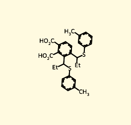 CCC(Sc1cccc(C)c1)c1ccc(C(=O)O)c(C(=O)O)c1C(CC)Sc1cccc(C)c1